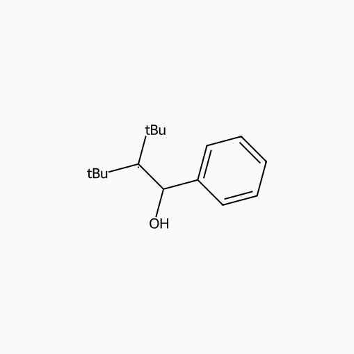 CC(C)(C)[C](C(O)c1ccccc1)C(C)(C)C